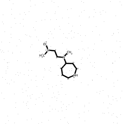 CCN(C)CCN(C)C1CCCNCC1